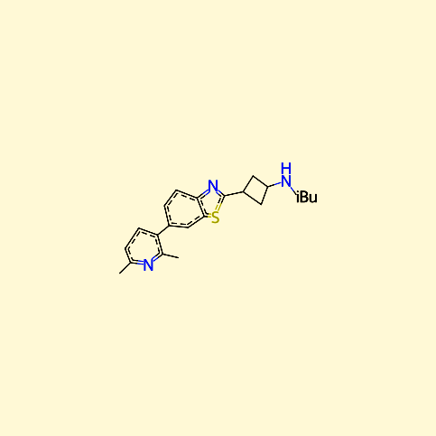 CCC(C)NC1CC(c2nc3ccc(-c4ccc(C)nc4C)cc3s2)C1